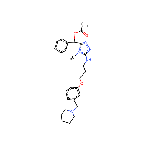 CC(=O)OC(c1ccccc1)c1nnc(NCCCOc2cccc(CN3CCCCC3)c2)n1C